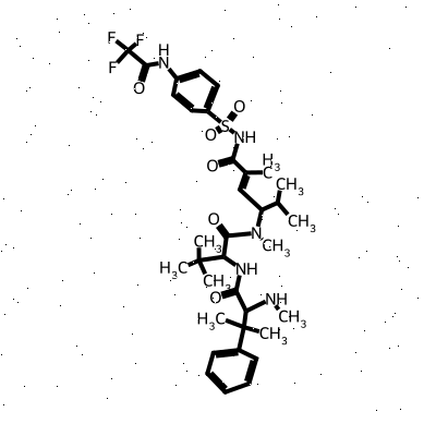 CNC(C(=O)NC(C(=O)N(C)C(/C=C(\C)C(=O)NS(=O)(=O)c1ccc(NC(=O)C(F)(F)F)cc1)C(C)C)C(C)(C)C)C(C)(C)c1ccccc1